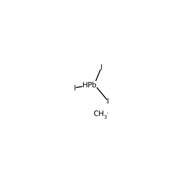 [CH3].[I][PbH]([I])[I]